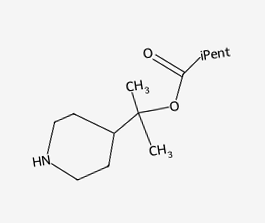 CCCC(C)C(=O)OC(C)(C)C1CCNCC1